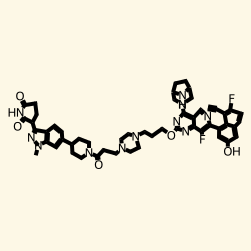 C#Cc1c(F)ccc2cc(O)cc(-c3ncc4c(N5CC6CCC(C5)N6)nc(OCCCN5CCN(CCC(=O)N6CCC(c7ccc8c(C9CCC(=O)NC9=O)nn(C)c8c7)CC6)CC5)nc4c3F)c12